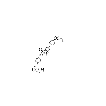 O=C(O)CCc1ccc(CNC(=O)c2cc(-c3ccc(OC(F)(F)F)cc3)cs2)cc1